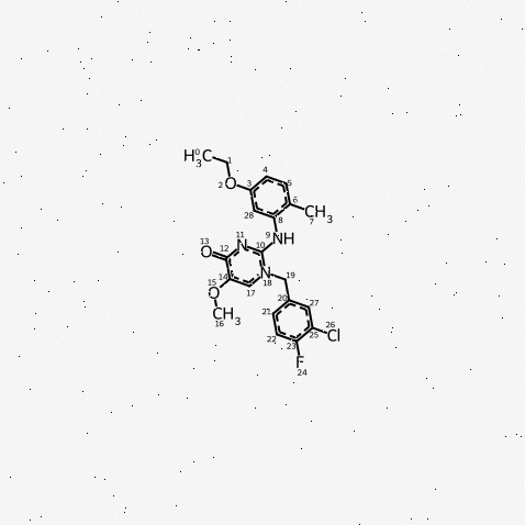 CCOc1ccc(C)c(Nc2nc(=O)c(OC)cn2Cc2ccc(F)c(Cl)c2)c1